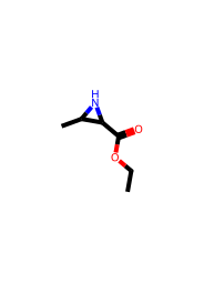 CCOC(=O)C1NC1C